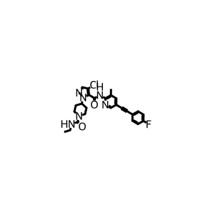 CCNC(=O)N1CCC(n2ncc(Cl)c2C(=O)Nc2ncc(C#Cc3ccc(F)cc3)cc2C)CC1